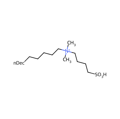 CCCCCCCCCCCCCCC[N+](C)(C)CCCCS(=O)(=O)O